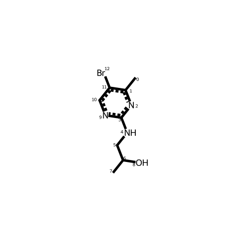 Cc1nc(NCC(C)O)ncc1Br